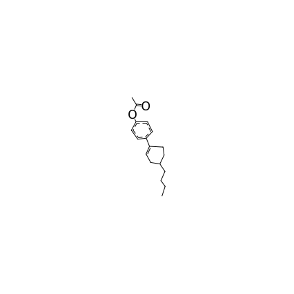 CCCCC1CC=C(c2ccc(OC(C)=O)cc2)CC1